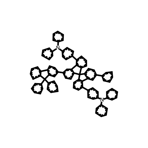 c1ccc(-c2ccc3c(c2)-c2c(-c4ccc(N(c5ccccc5)c5ccccc5)cc4)cccc2C32c3ccc(-c4ccc5c(c4)C(c4ccccc4)(c4ccccc4)c4ccccc4-5)cc3-c3c(-c4ccc(N(c5ccccc5)c5ccccc5)cc4)cccc32)cc1